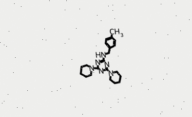 Cc1ccc(CNc2nc(N3CCCCC3)nc(N3CCCCC3)n2)cc1